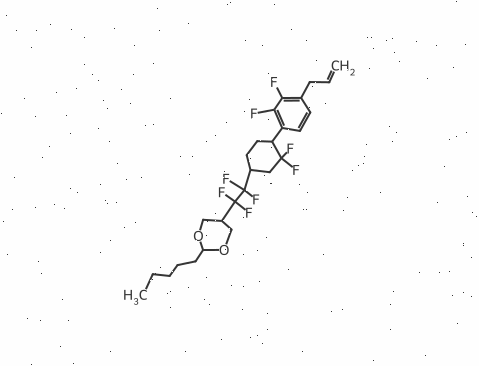 C=CCc1ccc(C2CCC(C(F)(F)C(F)(F)C3COC(CCCCC)OC3)CC2(F)F)c(F)c1F